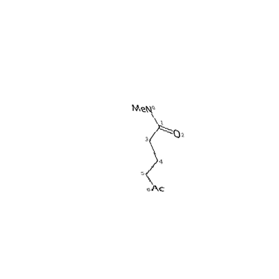 CNC(=O)CCCC(C)=O